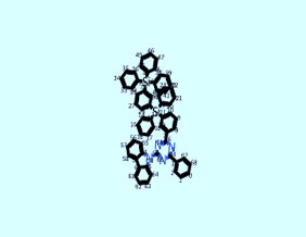 c1ccc(-c2nc(-c3cccc([Si](c4ccccc4)(c4ccccc4)c4cccc([Si](c5ccccc5)(c5ccccc5)c5ccccc5)c4)c3)nc(-n3c4ccccc4c4ccccc43)n2)cc1